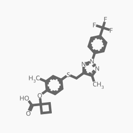 Cc1cc(SCc2nn(-c3ccc(C(F)(F)F)cc3)nc2C)ccc1OC1(C(=O)O)CCC1